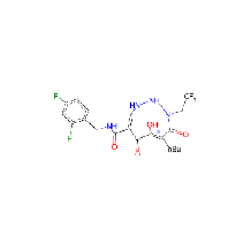 CCCC/C1=C(/O)C(=O)/C(C(=O)NCc2ccc(F)cc2F)=C\NNCN(CC(F)(F)F)C1=O